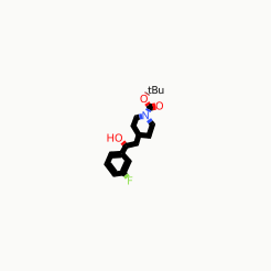 CC(C)(C)OC(=O)N1CCC(CC(O)c2cccc(F)c2)CC1